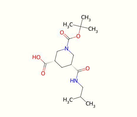 CC(C)CNC(=O)[C@@H]1C[C@H](C(=O)O)CN(C(=O)OC(C)(C)C)C1